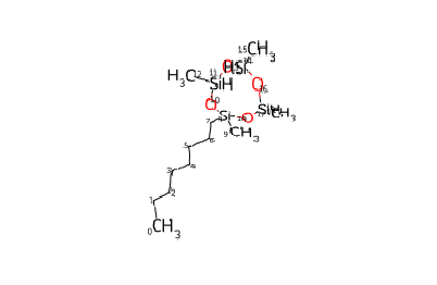 CCCCCCCC[Si]1(C)O[SiH](C)O[SiH](C)O[SiH](C)O1